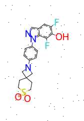 O=S1(=O)CCC2(CC1)CN(c1ccc(-n3ncc4cc(F)c(O)c(F)c43)cc1)C2